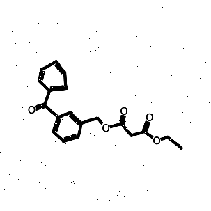 CCOC(=O)CC(=O)OCc1cccc(C(=O)c2ccccc2)c1